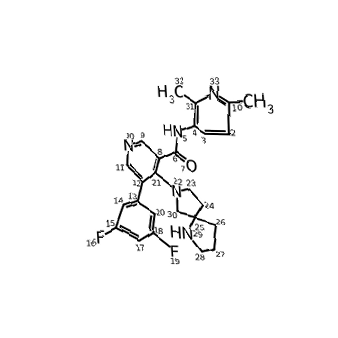 Cc1ccc(NC(=O)c2cncc(-c3cc(F)cc(F)c3)c2N2CCC3(CCCN3)C2)c(C)n1